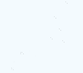 NC(=O)CNC(=O)c1cccc(-c2nc(N3CCOCC3)nc3c2CCN3c2cccnc2)c1